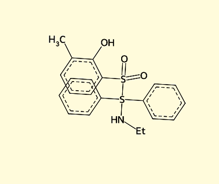 CCNS(c1ccccc1)(c1ccccc1)S(=O)(=O)c1cccc(C)c1O